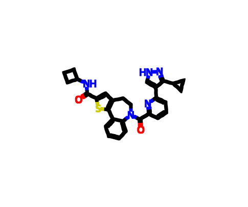 O=C(NC1CCC1)c1cc2c(s1)-c1ccccc1N(C(=O)c1cccc(-c3c[nH]nc3C3CC3)n1)CC2